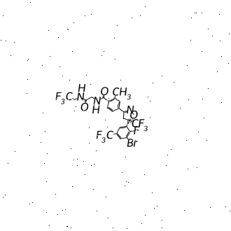 Cc1cc(C2=NO[C@@](c3cc(C(F)(F)F)cc(Br)c3F)(C(F)(F)F)C2)ccc1C(=O)NCC(=O)NCC(F)(F)F